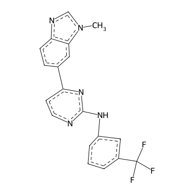 Cn1cnc2ccc(-c3ccnc(Nc4cccc(C(F)(F)F)c4)n3)cc21